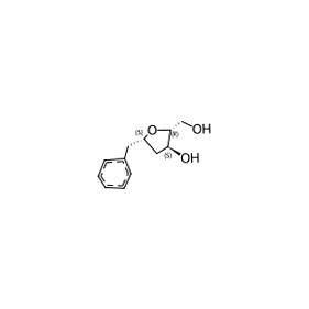 OC[C@H]1O[C@@H](Cc2ccccc2)C[C@@H]1O